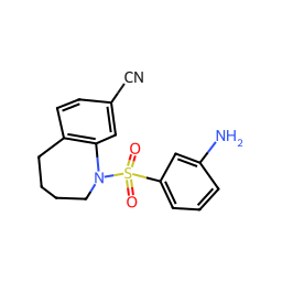 N#Cc1ccc2c(c1)N(S(=O)(=O)c1cccc(N)c1)CCCC2